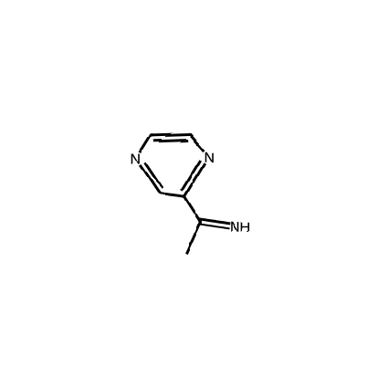 CC(=N)c1cnccn1